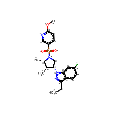 CCOc1ccc(S(=O)(=O)N2C[C@H](n3nc(CC(=O)O)c4ccc(Cl)cc43)[C@H](C)[C@@H]2C#N)cn1